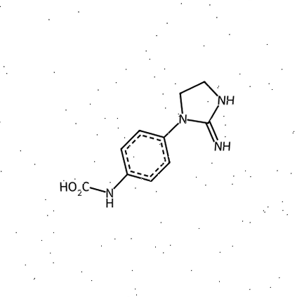 N=C1NCCN1c1ccc(NC(=O)O)cc1